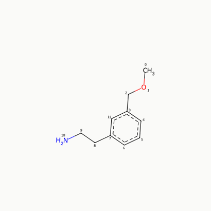 COCc1cccc(CCN)c1